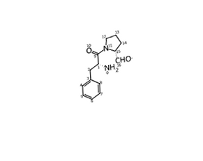 N[C@H](Cc1ccccc1)C(=O)N1CCC[C@@H]1[C]=O